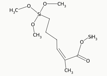 CO[Si](CCCC=C(C)C(=O)O[SiH3])(OC)OC